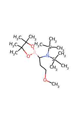 COCCC(B1OC(C)(C)C(C)(C)O1)N([Si](C)(C)C)[Si](C)(C)C